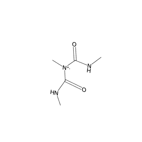 CNC(=O)[N+](C)C(=O)NC